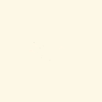 CCOCC1=C(C)C=C2C(=O)[C@](C)(O)C3(CC3)C(C)=C21